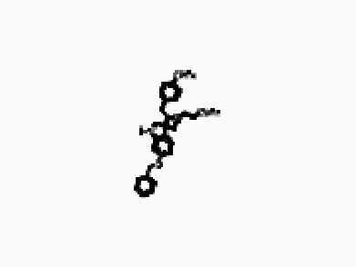 COCCN1CC2(CNc3cc(OCc4ccccc4)ccc32)[C@H]1Cc1ccc(OC)cc1